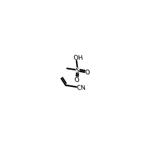 C=CC#N.CS(=O)(=O)O